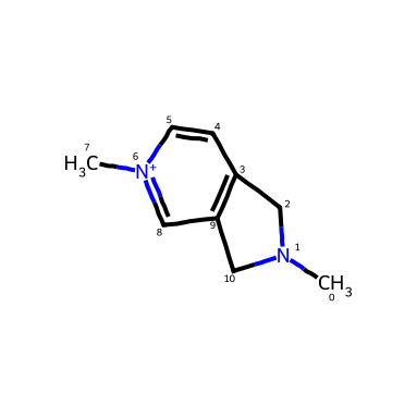 CN1Cc2cc[n+](C)cc2C1